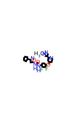 Cn1cc(-c2cc(Oc3ccc(NC(=O)Nc4cc(-c5ccccc5)no4)c(F)c3F)ccn2)cn1